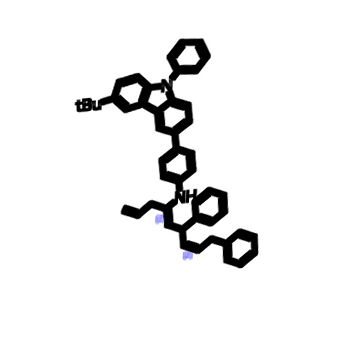 C=CC/C(=C/C(/C=C\Cc1ccccc1)c1ccccc1)Nc1ccc(-c2ccc3c(c2)c2cc(C(C)(C)C)ccc2n3-c2ccccc2)cc1